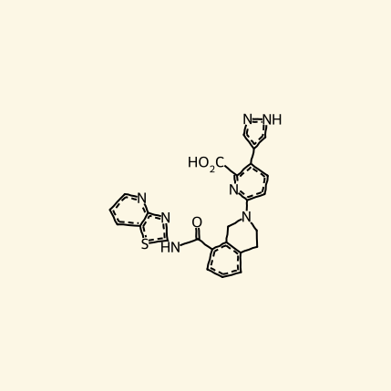 O=C(Nc1nc2ncccc2s1)c1cccc2c1CN(c1ccc(-c3cn[nH]c3)c(C(=O)O)n1)CC2